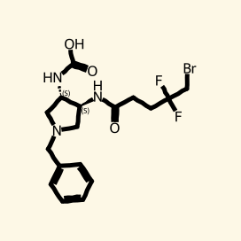 O=C(O)N[C@H]1CN(Cc2ccccc2)C[C@@H]1NC(=O)CCC(F)(F)CBr